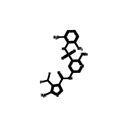 COc1ncc(NC(=O)c2cnn(C)c2C(F)F)cc1S(=O)(=O)Nc1c(C)cccc1C